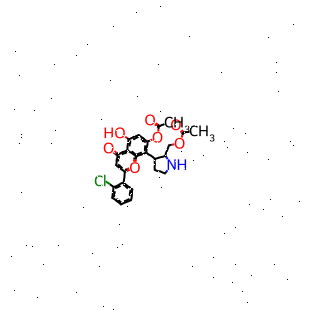 CC(=O)OCC1NCCC1c1c(OC(C)=O)cc(O)c2c(=O)cc(-c3ccccc3Cl)oc12